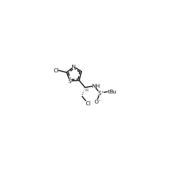 CC(C)(C)[S+]([O-])N[C@H](CCl)c1cnc(Cl)s1